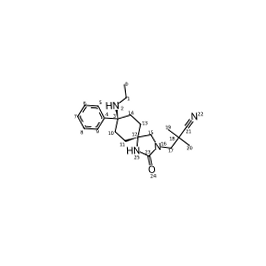 CCN[C@]1(c2ccccc2)CC[C@@]2(CC1)CN(CC(C)(C)C#N)C(=O)N2